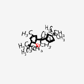 COc1c(C(C)(C)C)cc(C)cc1C(C)(C)C1=CC([Si](C)(C)C)C=C1